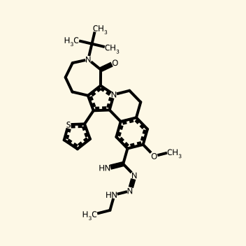 CCN/N=N\C(=N)c1cc2c(cc1OC)CCn1c3c(c(-c4cccs4)c1-2)CCCN(C(C)(C)C)C3=O